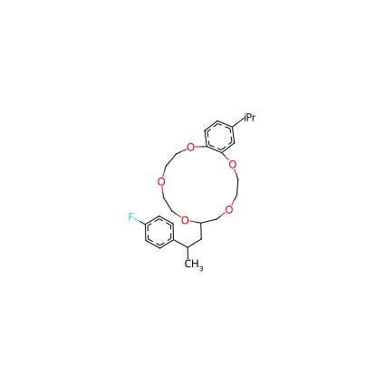 CC(C)c1ccc2c(c1)OCCOCC(CC(C)c1ccc(F)cc1)OCCOCCO2